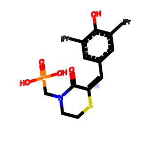 CC(C)c1cc(/C=C2/SCCN(CP(=O)(O)O)C2=O)cc(C(C)C)c1O